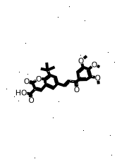 COc1cc(C(=O)/C=C/c2cc(C(C)(C)C)c3oc(=O)c(C(=O)O)cc3c2)cc(OC)c1OC